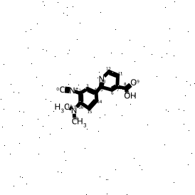 [C-]#[N+]c1cc(-c2cc(C(=O)O)ccn2)ccc1N(C)C